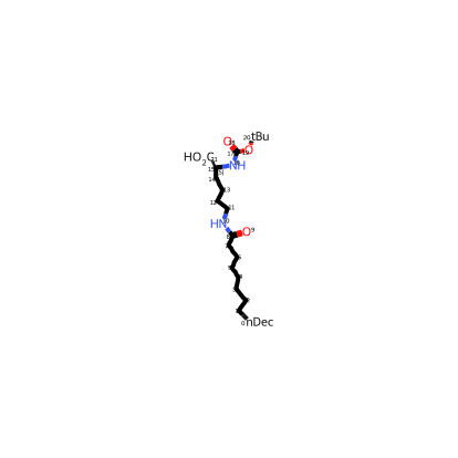 CCCCCCCCCCCCCCCCCC(=O)NCCCC[C@H](NC(=O)OC(C)(C)C)C(=O)O